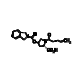 C=CCCC(=O)N1C[C@H](OC(=O)N2Cc3ccccc3C2)C[C@H]1C(=O)O